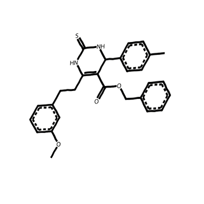 COc1cccc(CCC2=C(C(=O)OCc3ccccc3)C(c3ccc(C)cc3)NC(=S)N2)c1